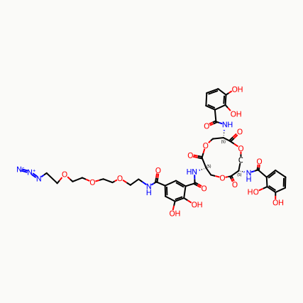 [N-]=[N+]=NCCOCCOCCOCCNC(=O)c1cc(O)c(O)c(C(=O)N[C@H]2COC(=O)[C@@H](NC(=O)c3cccc(O)c3O)COC(=O)[C@@H](NC(=O)c3cccc(O)c3O)COC2=O)c1